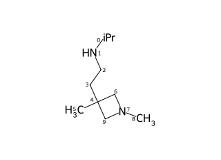 CC(C)NCCC1(C)CN(C)C1